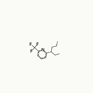 CCCC(CC)c1cccc(C(F)(F)F)n1